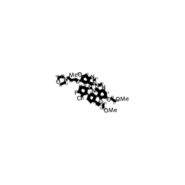 C#Cc1cccc(N(c2ncnc3cc(OCCOC)c(OCCOC)cc23)N(c2ccc(F)c(Cl)c2)c2ncnc3cc(OC)c(OCCCN4CCOCC4)cc23)c1